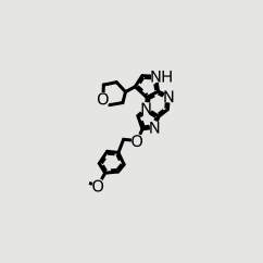 COc1ccc(COc2cn3c(cnc4[nH]cc(C5CCOCC5)c43)n2)cc1